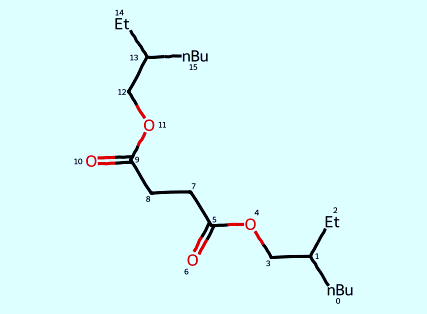 CCCCC(CC)COC(=O)CCC(=O)OCC(CC)CCCC